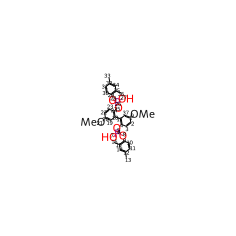 COc1ccc(OP(O)Oc2ccc(C)cc2C)c(-c2cc(OC)ccc2OP(O)Oc2ccc(C)cc2C)c1